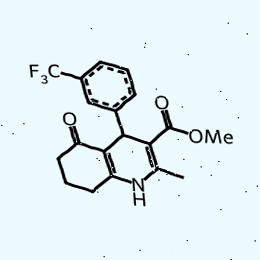 COC(=O)C1=C(C)NC2=C(C(=O)CCC2)C1c1cccc(C(F)(F)F)c1